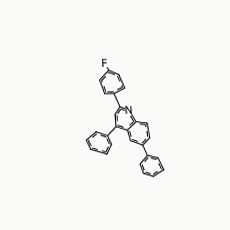 Fc1ccc(-c2cc(-c3ccccc3)c3cc(-c4ccccc4)ccc3n2)cc1